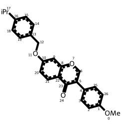 COc1ccc(-c2coc3cc(OCc4ccc(C(C)C)cc4)ccc3c2=O)cc1